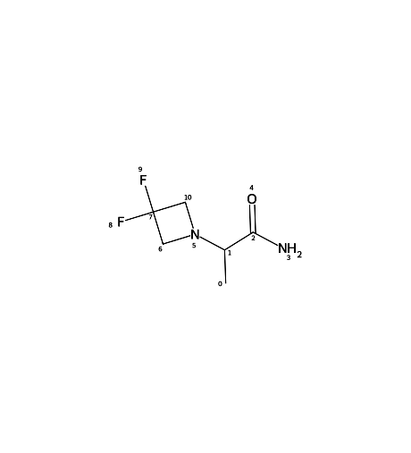 CC(C(N)=O)N1CC(F)(F)C1